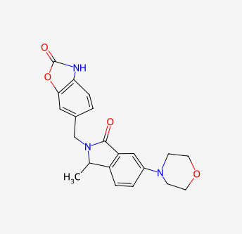 CC1c2ccc(N3CCOCC3)cc2C(=O)N1Cc1ccc2[nH]c(=O)oc2c1